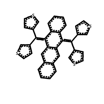 c1ccc2cc3c(=C(c4ccsc4)c4ccsc4)c4ccccc4c(=C(c4ccsc4)c4ccsc4)c3cc2c1